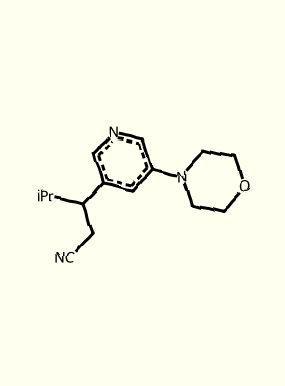 CC(C)C(CC#N)c1cncc(N2CCOCC2)c1